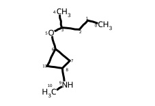 CCCC(C)OC1CC(NC)C1